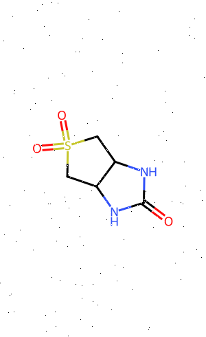 O=C1NC2CS(=O)(=O)CC2N1